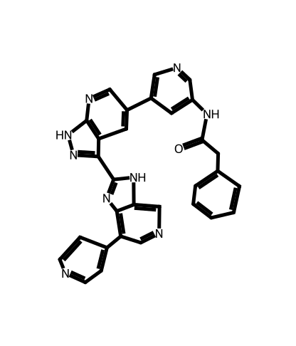 O=C(Cc1ccccc1)Nc1cncc(-c2cnc3[nH]nc(-c4nc5c(-c6ccncc6)cncc5[nH]4)c3c2)c1